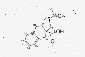 CC(=O)SCC1(C(=O)O)CCc2ccccc2C1